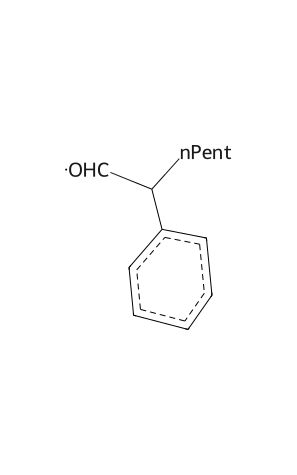 CCCCCC([C]=O)c1ccccc1